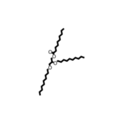 CCCCCCCCCCOCC(COC(=O)CCCCCCCCC)OCCCCCCCCCC